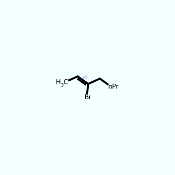 C/C=C(\Br)CCCC